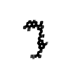 NC(=O)COc1cc(F)c2c(c1)CC(CNCCC1CN(c3cnc4c(n3)NC(=O)CO4)C(=O)O1)C2